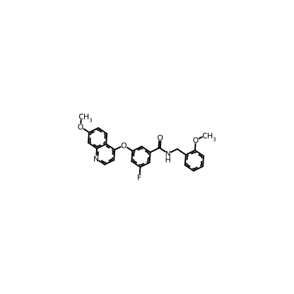 COc1ccc2c(Oc3cc(F)cc(C(=O)NCc4ccccc4OC)c3)ccnc2c1